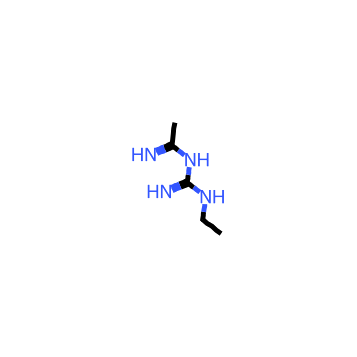 CCNC(=N)NC(C)=N